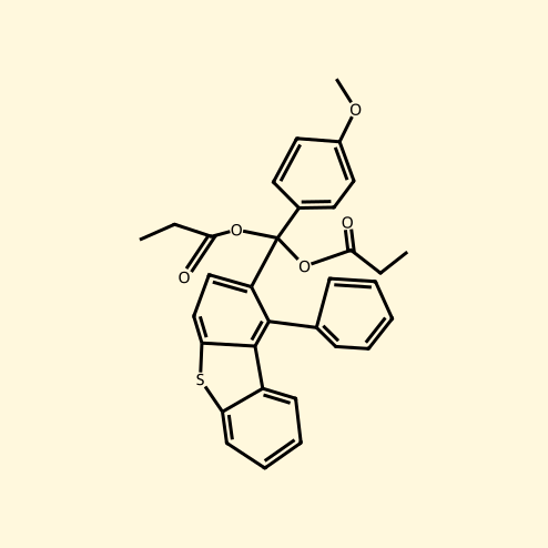 CCC(=O)OC(OC(=O)CC)(c1ccc(OC)cc1)c1ccc2sc3ccccc3c2c1-c1ccccc1